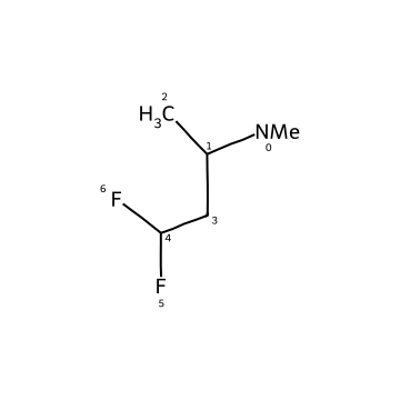 CNC(C)CC(F)F